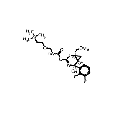 COC[C@]12C[C@H]1[C@@](C)(c1cccc(F)c1F)N=C(OC(=O)NCOCC[Si](C)(C)C)S2